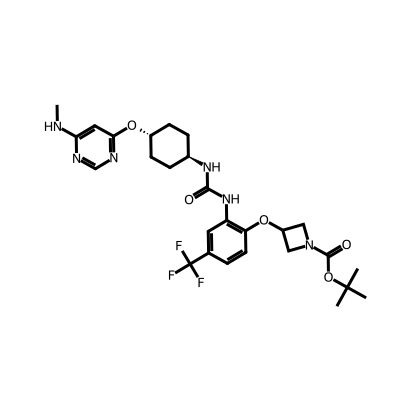 CNc1cc(O[C@H]2CC[C@H](NC(=O)Nc3cc(C(F)(F)F)ccc3OC3CN(C(=O)OC(C)(C)C)C3)CC2)ncn1